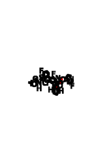 CC(C)(C)OC(=O)Nc1nc2c(-c3c(Cl)cc4c(N5C[C@H]6CC[C@@H](C5)N6C(=O)OC(C)(C)C)cc(OC[C@@]56CCCN5C[C@H](F)C6)nc4c3F)ccc(F)c2s1